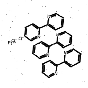 [Cl-].[Cl-].[Pt+2].c1ccc(-c2ccccn2)nc1.c1ccc(-c2ccccn2)nc1.c1ccc(-c2ccccn2)nc1